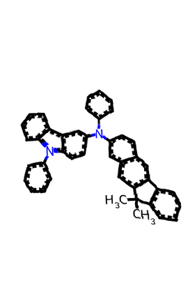 CC1(C)c2ccccc2-c2cc3ccc(N(c4ccccc4)c4ccc5c(c4)c4ccccc4n5-c4ccccc4)cc3cc21